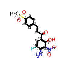 CS(=O)(=O)c1ccc(C=CC(=O)c2cc(F)c(N)c([N+](=O)[O-])c2O)cc1